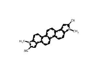 Cn1c(C#N)cc2c3ccc4c(ccc5c4ccc4c5cc(C#N)n4C)c3ccc21